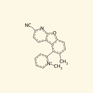 Cc1ccc2oc3nc(C#N)ccc3c2c1-c1cccc[n+]1C